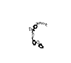 CCCCCOc1ccc(C(C)(CC)COCc2cccc(Oc3ccccc3)c2)cc1